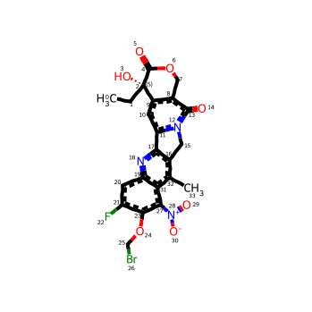 CC[C@@]1(O)C(=O)OCc2c1cc1n(c2=O)Cc2c-1nc1cc(F)c(OCBr)c([N+](=O)[O-])c1c2C